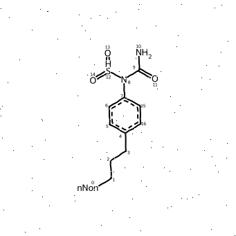 CCCCCCCCCCCCc1ccc(N(C(N)=O)[SH](=O)=O)cc1